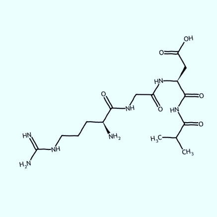 CC(C)C(=O)NC(=O)[C@H](CC(=O)O)NC(=O)CNC(=O)[C@@H](N)CCCNC(=N)N